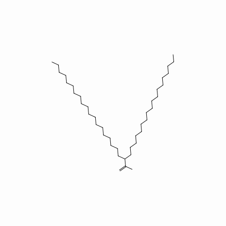 C=C(C)C(CCCCCCCCCCCCCCCCCC)CCCCCCCCCCCCCCCCCCC